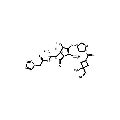 C[C@@H](NC(=O)Cn1cnnn1)[C@H]1C(=O)N2C(C(=O)O)=C(S[C@@H]3CN[C@H](C(=O)N4CC(N)(CC#N)C4)C3)[C@H](C)[C@H]12